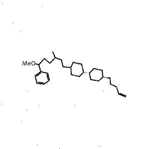 C=CCCC[C@H]1CC[C@H](C2CCC(CCC(C)CCC(OC)c3ccccc3)CC2)CC1